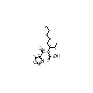 CCCCCC(CC)C(C(=O)O)C(=O)c1cocn1